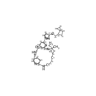 CC1(C)CC2CCCCNc3ccc(cn3)SNC(=O)c3ccc(-n4ccc(OCC5CCC56CC6)n4)nc3N1C2